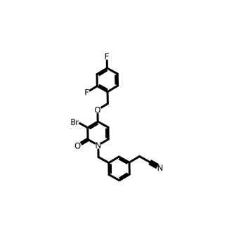 N#CCc1cccc(Cn2ccc(OCc3ccc(F)cc3F)c(Br)c2=O)c1